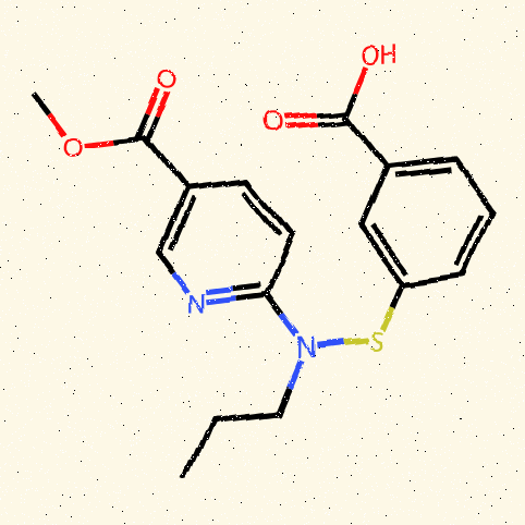 CCCN(Sc1cccc(C(=O)O)c1)c1ccc(C(=O)OC)cn1